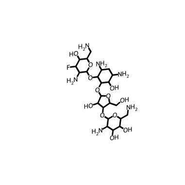 NCC1OC(OC2C(CO)OC(OC3C(O)C(N)CC(N)C3OC3OC(CN)C(O)C(F)C3N)C2O)C(N)C(O)C1O